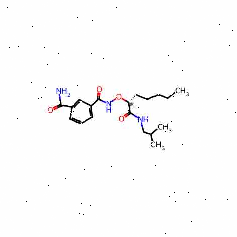 CCCCC[C@@H](ONC(=O)c1cccc(C(N)=O)c1)C(=O)NCC(C)C